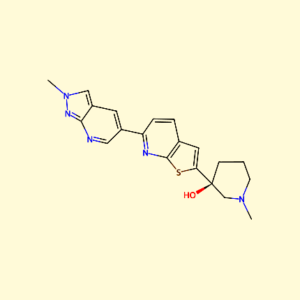 CN1CCC[C@@](O)(c2cc3ccc(-c4cnc5nn(C)cc5c4)nc3s2)C1